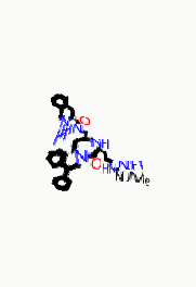 CNC(=N)NCCC[C@@H]1N[C@H](CNC(=O)[C@H]2Cc3ccccc3CN2)CCN(CC(c2ccccc2)c2ccccc2)C1=O